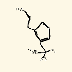 CC[I+]c1cccc(C(C)(C)C)c1